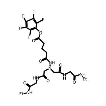 CCNC(=O)CNC(=O)CN(CC(=O)NCC(=O)NCC)NC(=O)CCCC(=O)Oc1c(F)c(F)c(F)c(F)c1F